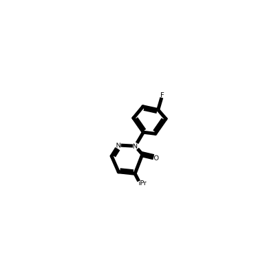 CC(C)c1ccnn(-c2ccc(F)cc2)c1=O